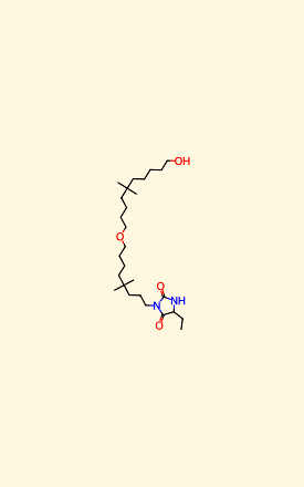 CCC1NC(=O)N(CCCC(C)(C)CCCCOCCCCC(C)(C)CCCCCO)C1=O